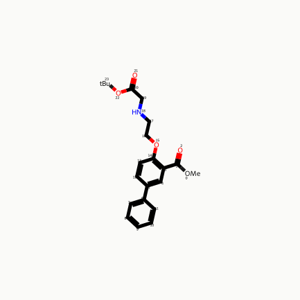 COC(=O)c1cc(-c2ccccc2)ccc1OCCNCC(=O)OC(C)(C)C